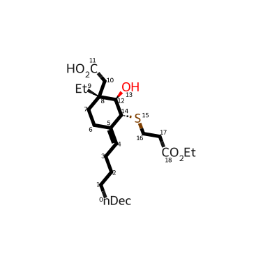 CCCCCCCCCCCCCC=C1CC[C@](CC)(CC(=O)O)[C@@H](O)[C@@H]1SCCC(=O)OCC